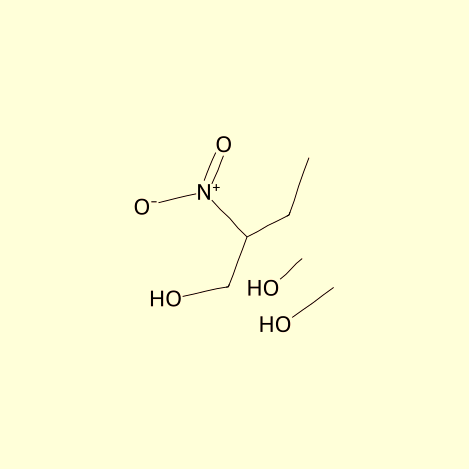 CCC(CO)[N+](=O)[O-].CO.CO